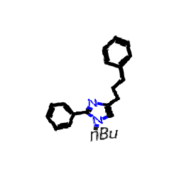 CCCCn1cc(CCCc2ccccc2)nc1-c1ccccc1